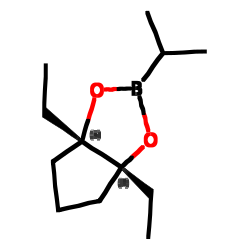 CC[C@@]12CCC[C@]1(CC)OB(C(C)C)O2